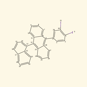 Ic1ccc(-c2c3ccccc3c(-c3cccc4ccccc34)c3ccccc23)cc1I